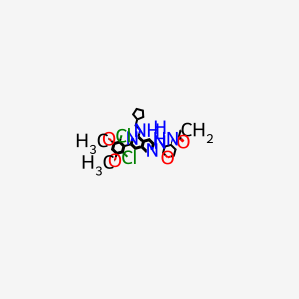 C=CC(=O)N[C@H]1CCOC[C@H]1Nc1cc2c(NCC3CCCC3)nc(-c3c(Cl)c(OC)cc(OC)c3Cl)cc2cn1